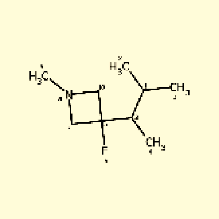 CC(C)C(C)C1(F)CN(C)C1